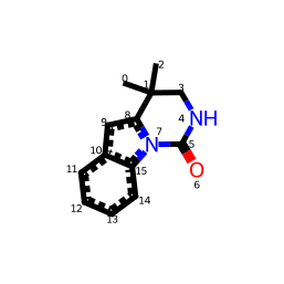 CC1(C)CNC(=O)n2c1cc1ccccc12